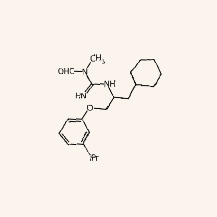 CC(C)c1cccc(OCC(CC2CCCCC2)NC(=N)N(C)C=O)c1